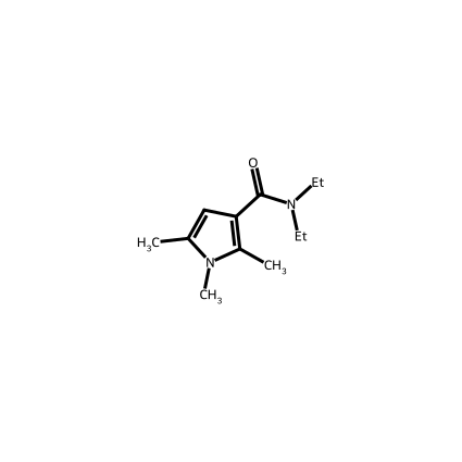 CCN(CC)C(=O)c1cc(C)n(C)c1C